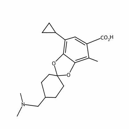 Cc1c(C(=O)O)cc(C2CC2)c2c1OC1(CCC(CN(C)C)CC1)O2